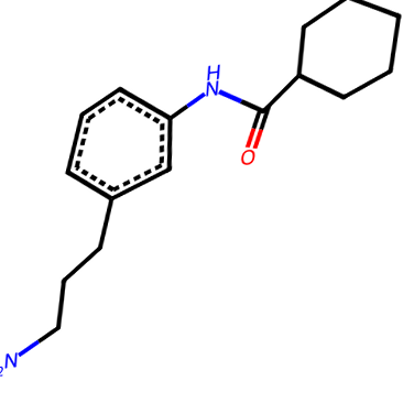 NCCCc1cccc(NC(=O)C2CCCCC2)c1